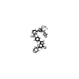 Cc1nn(-c2ccnc(Nc3ccc(-c4csc5c(=O)cc(N6CCOCC6)oc45)cc3)n2)cc1CN1COC1